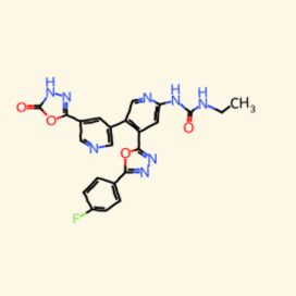 CCNC(=O)Nc1cc(-c2nnc(-c3ccc(F)cc3)o2)c(-c2cncc(-c3n[nH]c(=O)o3)c2)cn1